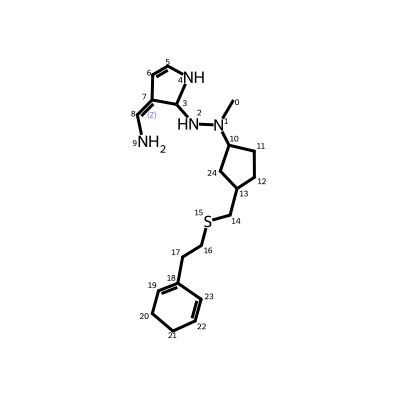 CN(NC1NC=C/C1=C/N)C1CCC(CSCCC2=CCCC=C2)C1